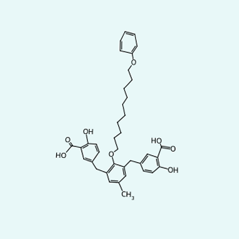 Cc1cc(Cc2ccc(O)c(C(=O)O)c2)c(OCCCCCCCCCCOc2ccccc2)c(Cc2ccc(O)c(C(=O)O)c2)c1